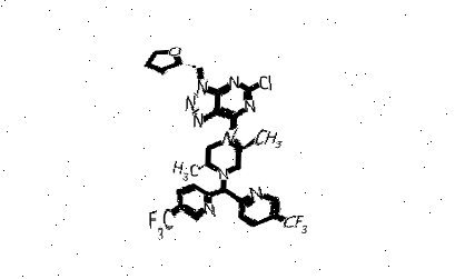 C[C@@H]1CN(c2nc(Cl)nc3c2nnn3C[C@@H]2CCCO2)[C@@H](C)CN1C(c1ccc(C(F)(F)F)cn1)c1ccc(C(F)(F)F)cn1